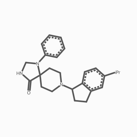 CC(C)c1ccc2c(c1)CCC2N1CCC2(CC1)C(=O)NCN2c1ccccc1